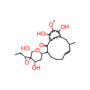 CC[C@@H]1OC12[C@H](O)C[C@H](C1CCC/C=C/C(C)Cc3cc(c(O)c(OC)c3O)C1=O)O[C@H]2O